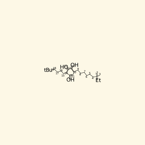 CCC(C)(C)CCCCCCc1cc(O)c(CCCCC(C)(C)C)c(O)c1O